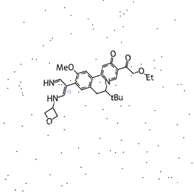 CCOCC(=O)c1cn2c(cc1=O)-c1cc(OC)c(/C(C=N)=C/NC3COC3)cc1CC2C(C)(C)C